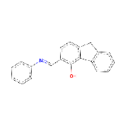 Oc1c(/C=N/c2ccccc2)ccc2c1-c1ccccc1C2